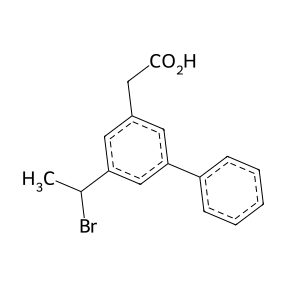 CC(Br)c1cc(CC(=O)O)cc(-c2ccccc2)c1